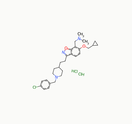 CN(C)Cc1c(OCC2CC2)ccc2c(CCC3CCN(Cc4ccc(Cl)cc4)CC3)noc12.Cl.Cl